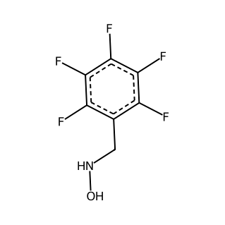 ONCc1c(F)c(F)c(F)c(F)c1F